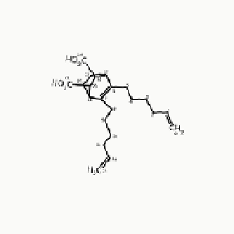 C=CCCCCC1=C(CCCCC=C)C2CCC1C(C(=O)O)C2C(=O)O